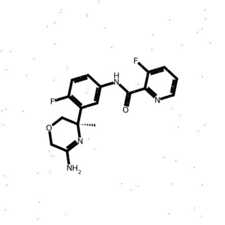 C[C@@]1(c2cc(NC(=O)c3ncccc3F)ccc2F)COCC(N)=N1